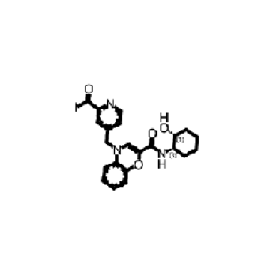 O=C(N[C@@H]1CCCC[C@H]1O)C1=CN(Cc2ccnc(C(=O)I)c2)c2ccccc2O1